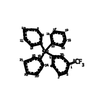 FC(F)(F)c1cccc([Si](c2ccccc2)(c2ccccc2)c2ccccc2)c1